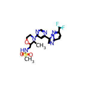 CC1C(CNS(C)(=O)=O)OCCN1c1cc(-c2cnc3ccc(C(F)F)nn23)ncn1